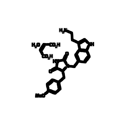 COc1ccc(CC2C(=O)NC(=O)N2Cc2ccc3[nH]cc(CCN)c3c2)cc1.O.O=C(O)/C=C\C(=O)O